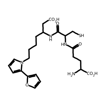 NC(CCC(=O)NC(CS)C(=O)NC(CCCCn1cccc1-c1ccco1)CC(=O)O)C(=O)O